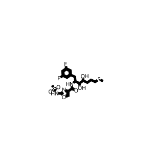 CSCCCC(O)C(O)C(Cc1cc(F)cc(F)c1)NC(=O)c1coc(NS(C)(=O)=O)n1